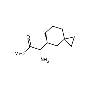 COC(=O)[C@@H](N)[C@H]1CCCC2(CC2)C1